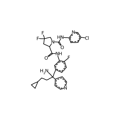 NC(CCC1CC1)(c1ccncc1)c1ccc(F)c(NC(=O)C2CC(F)(F)CN2C(=O)Nc2ccc(Cl)cn2)c1